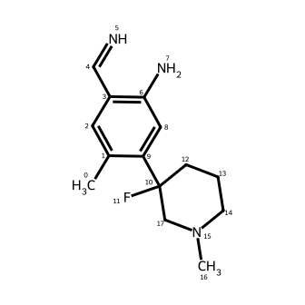 Cc1cc(C=N)c(N)cc1C1(F)CCCN(C)C1